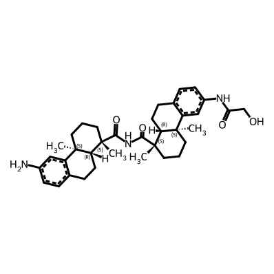 C[C@]1(C(=O)NC(=O)[C@@]2(C)CCC[C@]3(C)c4cc(NC(=O)CO)ccc4CC[C@@H]23)CCC[C@]2(C)c3cc(N)ccc3CC[C@@H]12